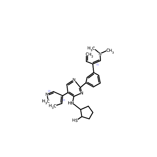 C=C/C(=C\N(C)C)c1cccc(-c2ncc(C(/C=N\C)=C/C)c(NC3CCCC3S)n2)c1